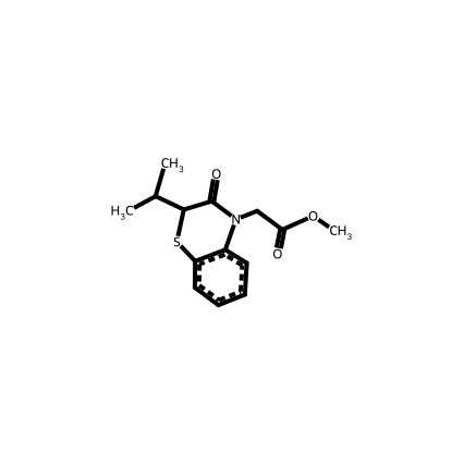 COC(=O)CN1C(=O)C(C(C)C)Sc2ccccc21